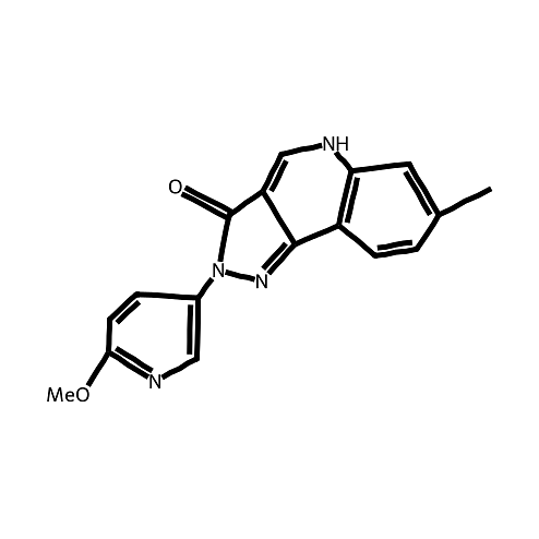 COc1ccc(-n2nc3c4ccc(C)cc4[nH]cc-3c2=O)cn1